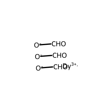 O=C[O-].O=C[O-].O=C[O-].[Dy+3]